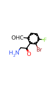 NCC(=O)c1c(C=O)ccc(F)c1Br